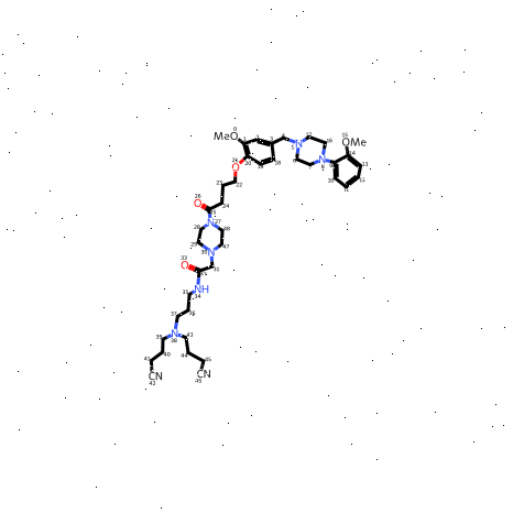 COc1cc(CN2CCN(c3ccccc3OC)CC2)ccc1OCCCC(=O)N1CCN(CC(=O)NCCCN(CCCC#N)CCCC#N)CC1